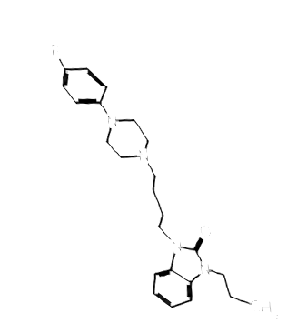 CCCn1c(=O)n(CCCCN2CCN(c3ccc(F)cc3)CC2)c2ccccc21